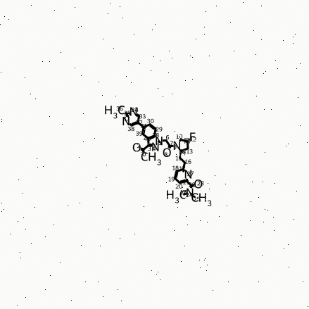 CC(=O)c1nn(CC(=O)N2C[C@H](F)C[C@H]2CCc2cccc(C(=O)N(C)C)n2)c2ccc(-c3cnc(C)nc3)cc12